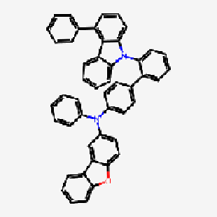 c1ccc(-c2cccc3c2c2ccccc2n3-c2ccccc2-c2ccc(N(c3ccccc3)c3ccc4oc5ccccc5c4c3)cc2)cc1